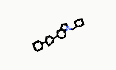 c1ccc(Cn2ccc3cc(-c4ccc(-c5ccccc5)cc4)ccc32)cc1